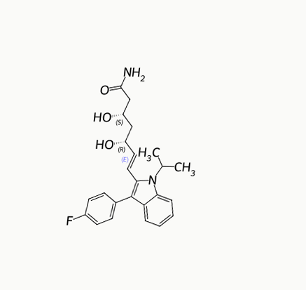 CC(C)n1c(/C=C/[C@H](O)C[C@H](O)CC(N)=O)c(-c2ccc(F)cc2)c2ccccc21